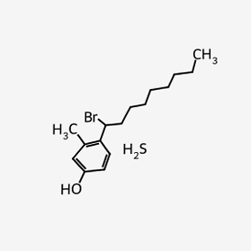 CCCCCCCCC(Br)c1ccc(O)cc1C.S